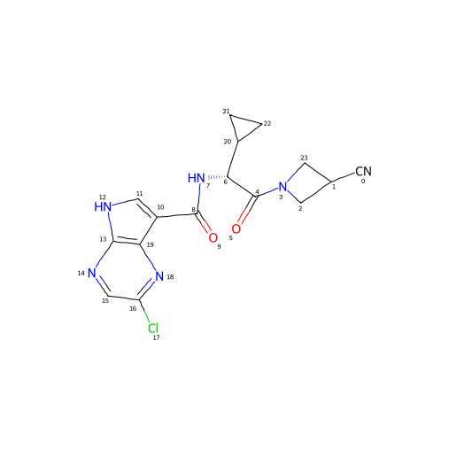 N#CC1CN(C(=O)[C@H](NC(=O)c2c[nH]c3ncc(Cl)nc23)C2CC2)C1